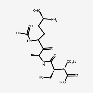 CCOC(=O)N(C(=O)OCC(C)C)[C@@H](CO)C(=O)N[C@@H](C)C(=O)C(CC[C@H](N)C=O)NC(=N)N